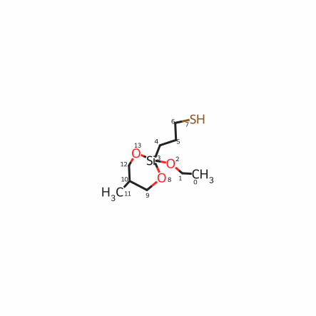 CCO[Si]1(CCCS)OCC(C)CO1